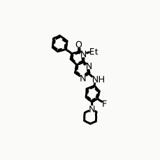 CCn1c(=O)c(-c2ccccc2)cc2cnc(Nc3ccc(N4CCCCC4)c(F)c3)nc21